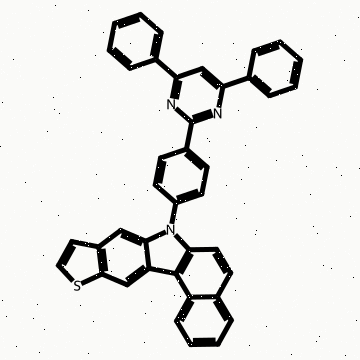 c1ccc(-c2cc(-c3ccccc3)nc(-c3ccc(-n4c5cc6ccsc6cc5c5c6ccccc6ccc54)cc3)n2)cc1